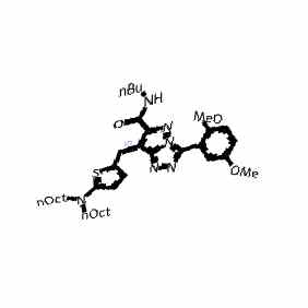 CCCCCCCCN(CCCCCCCC)c1ccc(/C=c2/c(C(=O)NCCCC)nn3c(-c4cc(OC)ccc4OC)nnc23)s1